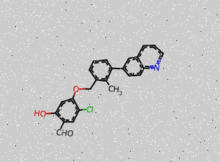 Cc1c(COc2cc(O)c(C=O)cc2Cl)cccc1-c1ccc2ncccc2c1